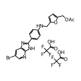 CC(=O)OCc1ccc(CNc2ccc(-c3nc4cc(Br)cnc4[nH]3)cc2)o1.O=C(O)C(F)(F)F.O=C(O)C(F)(F)F